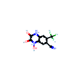 N#Cc1cc2c(cc1C(F)(F)F)[nH]c(=O)c(=O)n2O